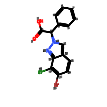 O=C(O)[C@@H](c1ccccc1)n1cc2ccc(Br)c(Cl)c2n1